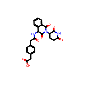 O=C(O)Cc1ccc(CC(=O)NC2C(=O)N(C3CCC(=O)NC3=O)C(=O)c3ccccc32)cc1